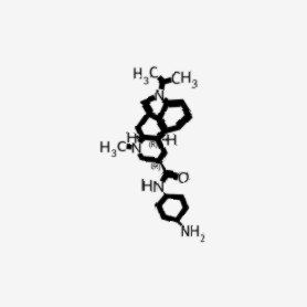 CC(C)n1cc2c3c(cccc31)[C@H]1C[C@@H](C(=O)N[C@H]3CC[C@H](N)CC3)CN(C)[C@@H]1C2